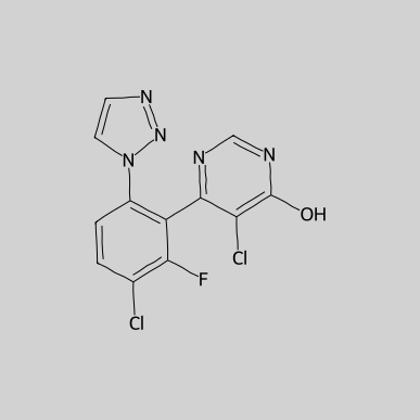 Oc1ncnc(-c2c(-n3ccnn3)ccc(Cl)c2F)c1Cl